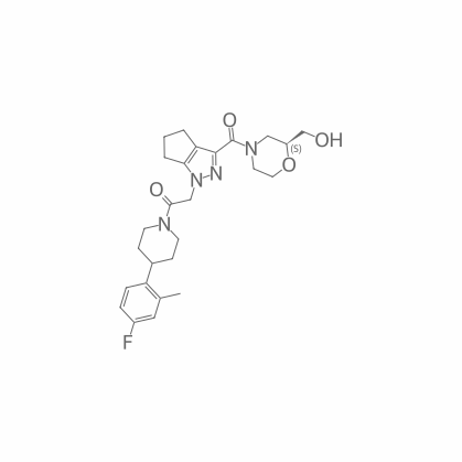 Cc1cc(F)ccc1C1CCN(C(=O)Cn2nc(C(=O)N3CCO[C@H](CO)C3)c3c2CCC3)CC1